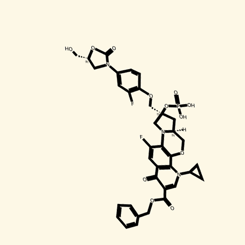 O=C(OCc1ccccc1)c1cn(C2CC2)c2c3c(c(F)cc2c1=O)N1C[C@@](COc2ccc(N4C[C@H](CO)OC4=O)cc2F)(OP(=O)(O)O)C[C@H]1CO3